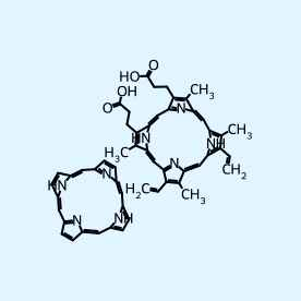 C1=Cc2cc3ccc(cc4nc(cc5ccc(cc1n2)[nH]5)C=C4)[nH]3.C=CC1=C(C)c2cc3[nH]c(cc4nc(cc5[nH]c(cc1n2)c(C)c5CCC(=O)O)C(CCC(=O)O)=C4C)c(C)c3C=C